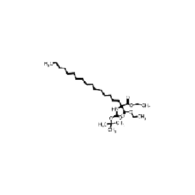 CCCCCCCCCCCCCCCCC(NC(=O)OC(C)(C)C)(C(=O)OCC)C(=O)OCC